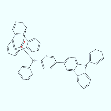 C1=CC(n2c3ccccc3c3cc(-c4ccc(N(c5ccccc5)c5ccc6c(c5)-c5c7cccc5-c5ccccc5C5=C7C=CCC56)cc4)ccc32)=CCC1